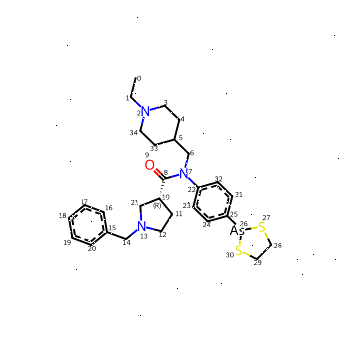 CCN1CCC(CN(C(=O)[C@@H]2CCN(Cc3ccccc3)C2)c2ccc([As]3SCCS3)cc2)CC1